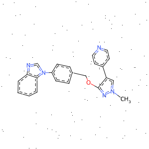 Cn1cc(-c2ccncc2)c(OCc2ccc(-n3cnc4ccccc43)cc2)n1